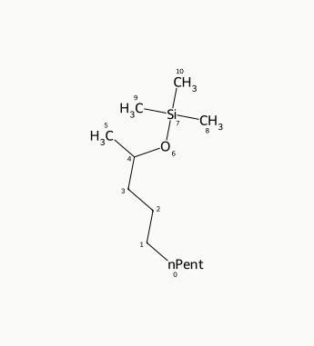 CCCCCCCCC(C)O[Si](C)(C)C